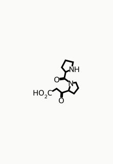 O=C(O)CC(=O)C1CCCN1C(=O)C1CCCN1